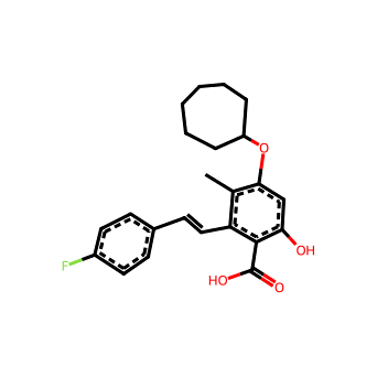 Cc1c(OC2CCCCCC2)cc(O)c(C(=O)O)c1C=Cc1ccc(F)cc1